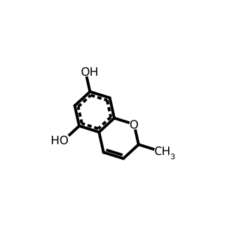 CC1C=Cc2c(O)cc(O)cc2O1